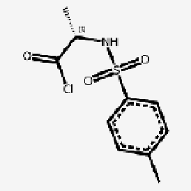 Cc1ccc(S(=O)(=O)N[C@@H](C)C(=O)Cl)cc1